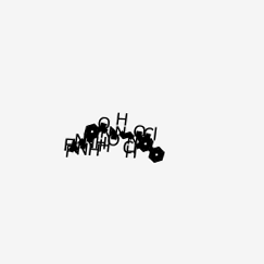 O=C(CNC(=O)c1cccc(NC2=NCC(F)(F)CN2)c1)NCCNC(=O)c1c(Cl)cc(-c2ccccc2)cc1Cl